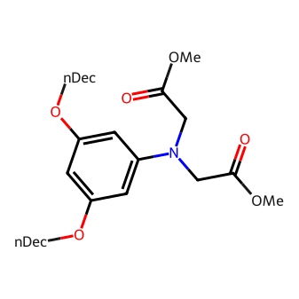 CCCCCCCCCCOc1cc(OCCCCCCCCCC)cc(N(CC(=O)OC)CC(=O)OC)c1